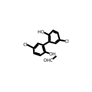 CC=O.Oc1ccc(Cl)cc1-c1cc(Cl)ccc1O